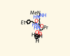 CCc1ccc(CCC(=O)N[C@@H](CCCNC(=N)NC)C(=O)N[C@@H](CC(C)C)B2O[C@@H]3C[C@@H]4C[C@@H](C4(C)C)[C@]3(C)O2)cc1